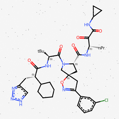 CCC[C@H](NC(=O)[C@@H]1C[C@]2(CC(c3cccc(Cl)c3)=NO2)CN1C(=O)[C@@H](NC(=O)[C@@H](Cc1c[nH]nn1)C1CCCCC1)C(C)(C)C)C(=O)C(=O)NC1CC1